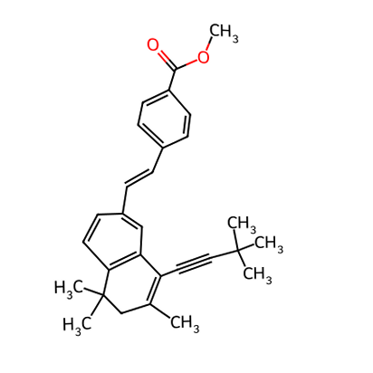 COC(=O)c1ccc(C=Cc2ccc3c(c2)C(C#CC(C)(C)C)=C(C)CC3(C)C)cc1